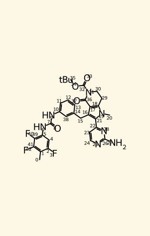 Cc1c(F)cc(NC(=O)Nc2cccc(Cc3c4c(n(C)c3-c3ccnc(N)n3)CCN(C(=O)OC(C)(C)C)C4=O)c2)c(F)c1F